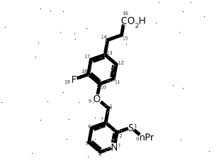 CCCSc1ncccc1COc1ccc(CCC(=O)O)cc1F